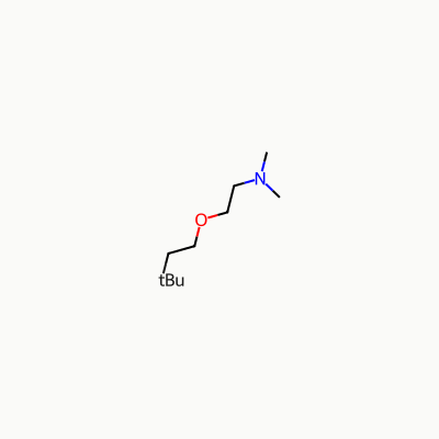 CN(C)CCOCCC(C)(C)C